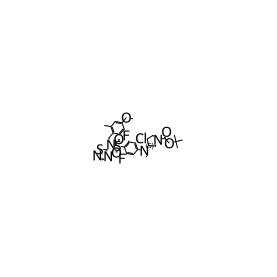 COc1ccc(CN(c2ncns2)S(=O)(=O)c2c(F)cc(N(C)[C@H]3CCN(C(=O)OC(C)(C)C)C3)c(Cl)c2F)c(C)c1